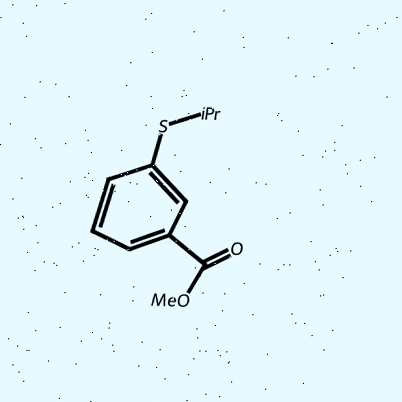 COC(=O)c1cccc(SC(C)C)c1